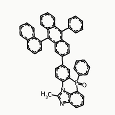 Cc1nc2cccc3c2n1-c1ccc(-c2ccc4c(-c5ccccc5)c5ccccc5c(-c5cccc6ccccc56)c4c2)cc1P3(=O)c1ccccc1